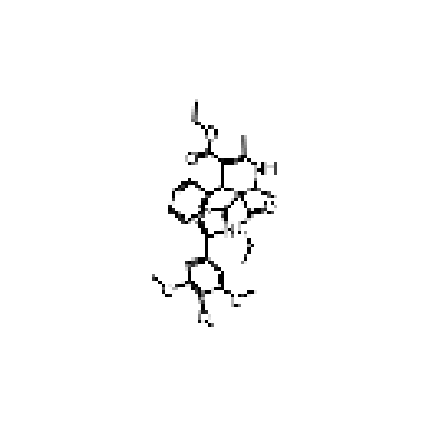 CCOC(=O)C1=C(C)NC(C)C(C(=O)OCC)(c2nc(-c3cc(OC)c(OC)c(OC)c3)cs2)C1c1ccccc1